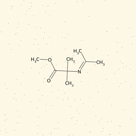 COC(=O)C(C)(C)N=C(C)C